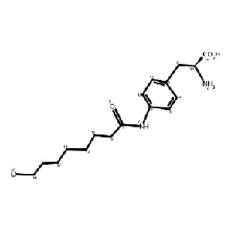 N[C@@H](Cc1ccc(NC(=O)CCCCCCCCl)cc1)C(=O)O